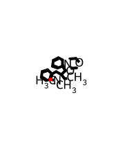 CCC(Cc1ccccc1)(C(=O)C1(N2CCOCC2)C=CC=CC1)N(C)C